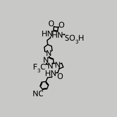 N#Cc1ccc(CCNC(=O)C2CCN2c2cc(N3CCC(CCNc4c(NCS(=O)(=O)O)c(=O)c4=O)CC3)nc(C(F)(F)F)n2)cc1